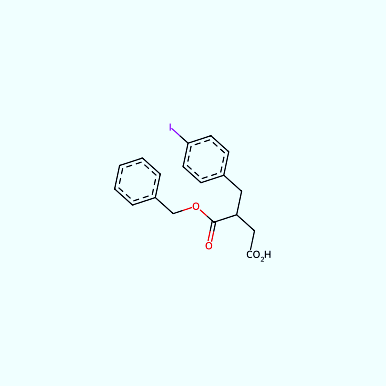 O=C(O)CC(Cc1ccc(I)cc1)C(=O)OCc1ccccc1